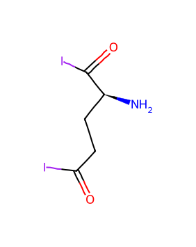 N[C@@H](CCC(=O)I)C(=O)I